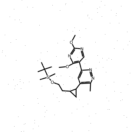 COc1ncc(-c2cc(C3CC3CCO[Si](C)(C)C(C)(C)C)c(C)nn2)c(OC)n1